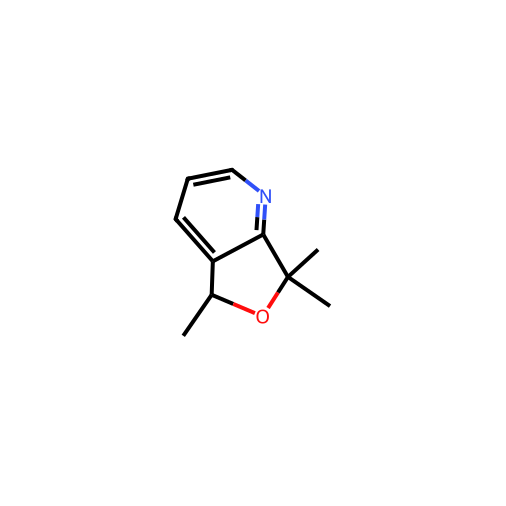 CC1OC(C)(C)c2ncccc21